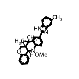 CON1c2ccc(-c3nc4cc(C)ccc4[nH]3)cc2C(C)(C)[C@H]2COc3ccccc3[C@H]21